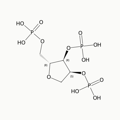 O=P(O)(O)OC[C@H]1OC[C@H](OP(=O)(O)O)[C@@H]1OP(=O)(O)O